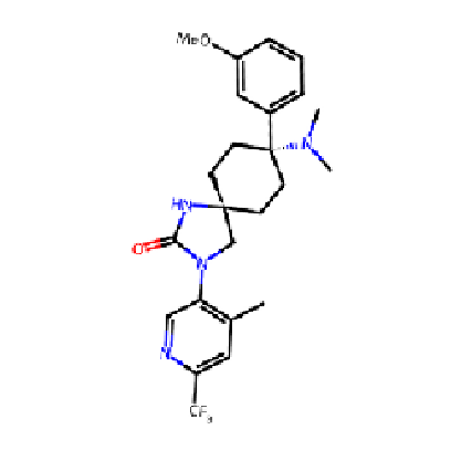 COc1cccc([C@]2(N(C)C)CC[C@@]3(CC2)CN(c2cnc(C(F)(F)F)cc2C)C(=O)N3)c1